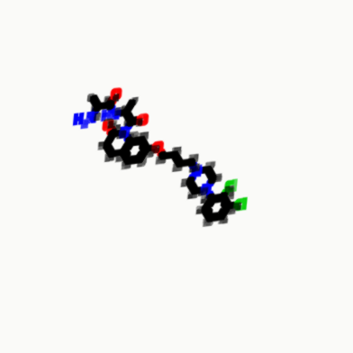 CC(N)C(=O)NC(C)C(=O)N1C(=O)CCc2ccc(OCCCCN3CCN(c4cccc(Cl)c4Cl)CC3)cc21